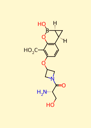 N[C@@H](CO)C(=O)N1CC(Oc2ccc3c(c2C(=O)O)OB(O)[C@H]2C[C@@H]32)C1